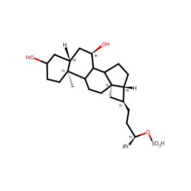 CC(C)[C@@H](CC[C@H]1C[C@]23CCC4C(C2CC[C@H]13)[C@H](O)C[C@H]1CC(O)CC[C@]41C)OS(=O)(=O)O